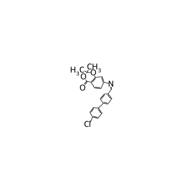 CC1(C)OC(=O)c2ccc(/N=C\c3ccc(-c4ccc(Cl)cc4)cc3)cc2O1